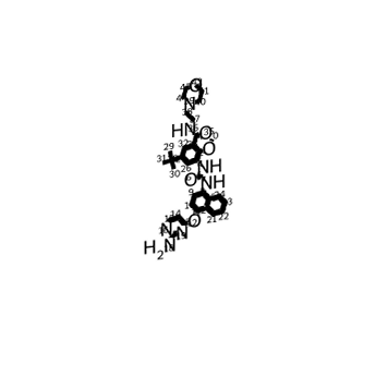 COc1c(NC(=O)Nc2ccc(Oc3ccnc(N)n3)c3ccccc23)cc(C(C)(C)C)cc1C(=O)NCCN1CCOCC1